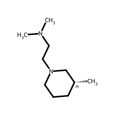 C[C@@H]1CCCN(CCN(C)C)C1